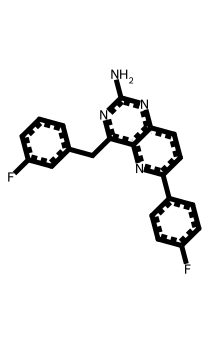 Nc1nc(Cc2cccc(F)c2)c2nc(-c3ccc(F)cc3)ccc2n1